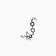 COc1ccc(N2CCN(Cc3ccc(C(C)(C)C)o3)CC2)cc1